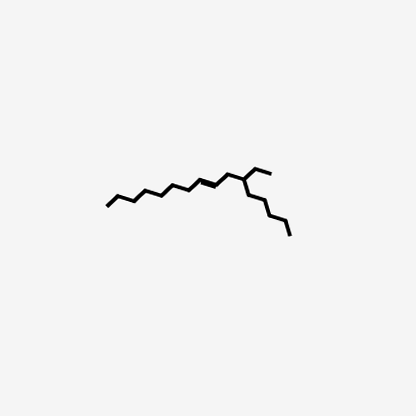 CCCCCCC/C=C/CC(CC)CCCCC